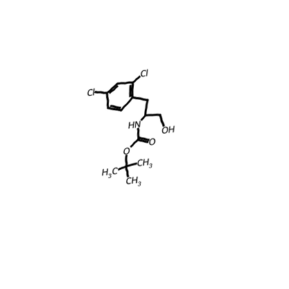 CC(C)(C)OC(=O)NC(CO)Cc1ccc(Cl)cc1Cl